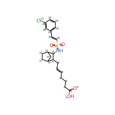 O=C(O)CCCC=CCC1C2CCC(C2)C1NS(=O)(=O)C=Cc1cccc(Cl)c1